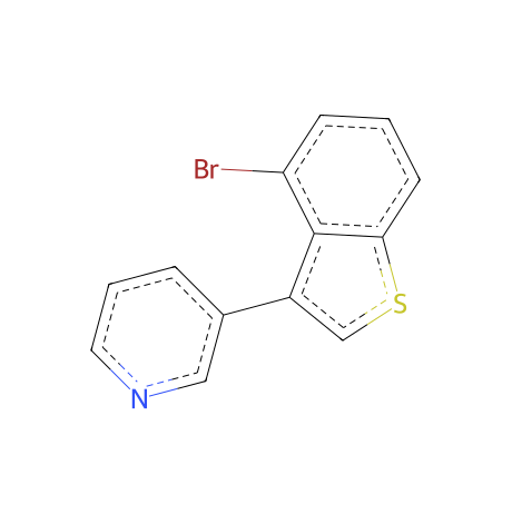 Brc1cccc2scc(-c3cccnc3)c12